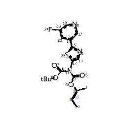 C/C=C(\C)OC(=O)N(C(=O)OC(C)(C)C)c1cnc(-c2cncc(F)c2)s1